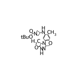 Cc1cc2c(cc1NC1CN(C(=O)OC(C)(C)C)C1)N1C(=NNC(=O)C1C)CO2